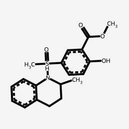 COC(=O)c1cc([SH](C)(=O)N2c3ccccc3CCC2C)ccc1O